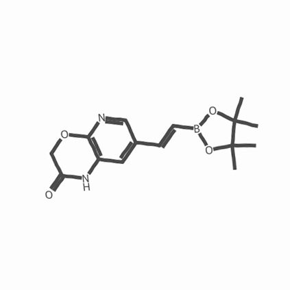 CC1(C)OB(/C=C/c2cnc3c(c2)NC(=O)CO3)OC1(C)C